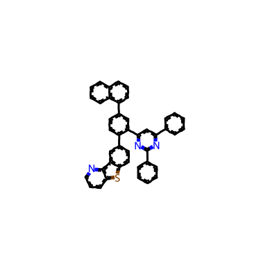 c1ccc(-c2cc(-c3cc(-c4cccc5ccccc45)ccc3-c3ccc4sc5cccnc5c4c3)nc(-c3ccccc3)n2)cc1